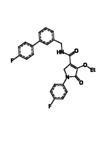 CCOC1=C(C(=O)NCc2cccc(-c3ccc(F)cc3)c2)CN(c2ccc(F)cc2)C1=O